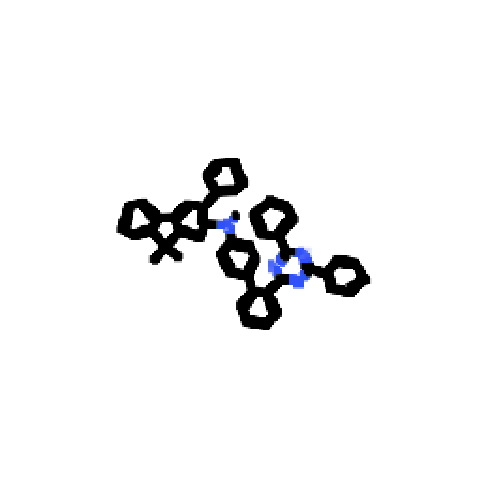 CN(c1ccc(-c2ccccc2-c2nc(-c3ccccc3)nc(-c3ccccc3)n2)cc1)c1cc2c(cc1-c1ccccc1)-c1ccccc1C2(C)C